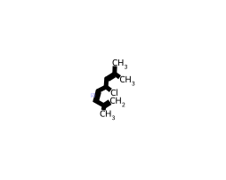 C=C(C)/C=C\C(Cl)C=C(C)C